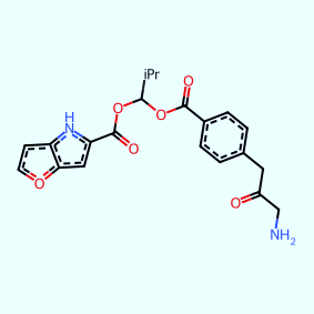 CC(C)C(OC(=O)c1ccc(CC(=O)CN)cc1)OC(=O)c1cc2occc2[nH]1